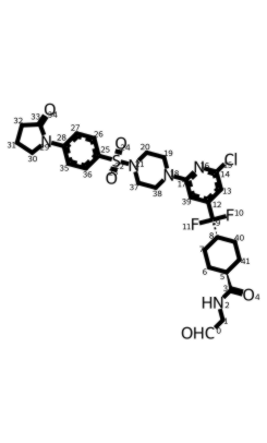 O=CCNC(=O)[C@H]1CC[C@H](C(F)(F)c2cc(Cl)nc(N3CCN(S(=O)(=O)c4ccc(N5CCCC5=O)cc4)CC3)c2)CC1